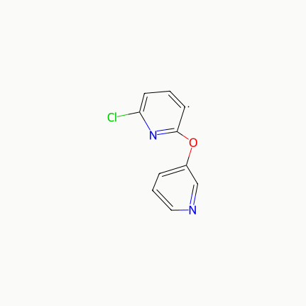 Clc1cc[c]c(Oc2cccnc2)n1